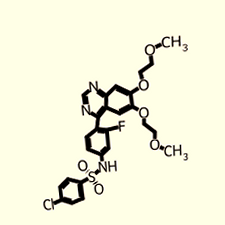 COCCOc1cc2ncnc(-c3ccc(NS(=O)(=O)c4ccc(Cl)cc4)cc3F)c2cc1OCCOC